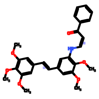 COc1cc(/C=C/c2cc(OC)c(OC)c(OC)c2)cc(N/C=C\C(=O)c2ccccc2)c1OC